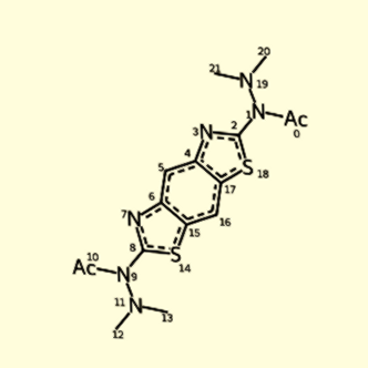 CC(=O)N(c1nc2cc3nc(N(C(C)=O)N(C)C)sc3cc2s1)N(C)C